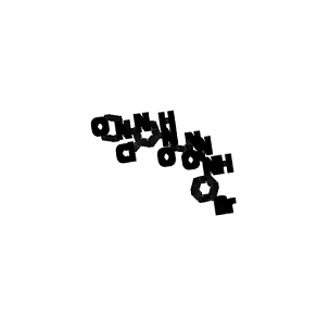 O=C(Nc1cnc(N2CCOCC2)c(Cl)c1)c1nnc(Nc2cccc(Br)c2)o1